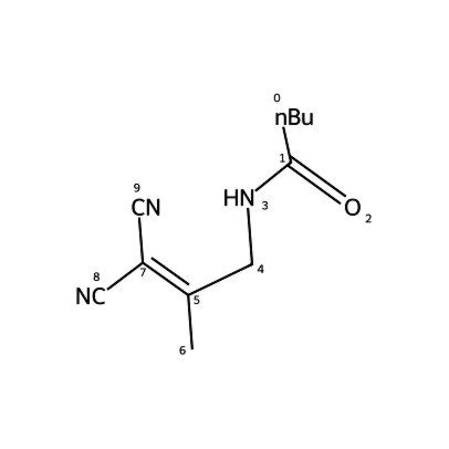 CCCCC(=O)NCC(C)=C(C#N)C#N